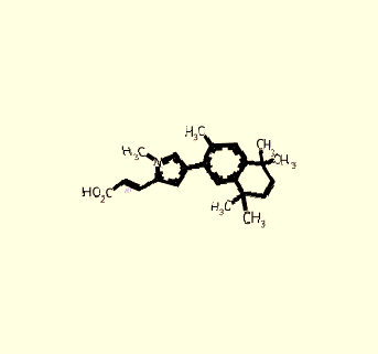 Cc1cc2c(cc1-c1cc(/C=C/C(=O)O)n(C)c1)C(C)(C)CCC2(C)C